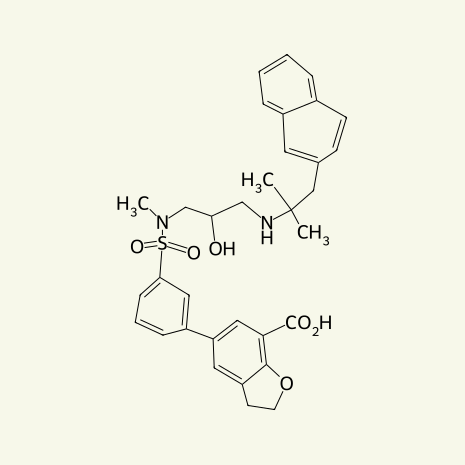 CN(CC(O)CNC(C)(C)Cc1ccc2ccccc2c1)S(=O)(=O)c1cccc(-c2cc3c(c(C(=O)O)c2)OCC3)c1